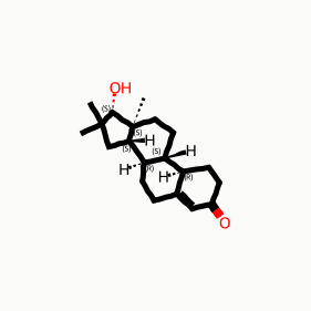 CC1(C)C[C@H]2[C@@H]3CCC4=CC(=O)CC[C@@H]4[C@H]3CC[C@]2(C)[C@H]1O